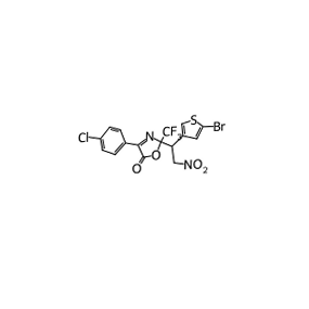 O=C1OC(C(C[N+](=O)[O-])c2csc(Br)c2)(C(F)(F)F)N=C1c1ccc(Cl)cc1